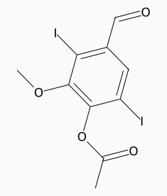 COc1c(I)c(C=O)cc(I)c1OC(C)=O